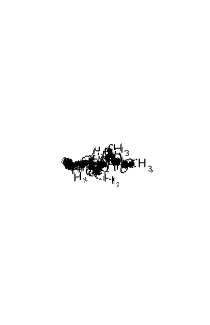 CCOC(=O)CNC(=O)CN(CC(C)C)C(=O)CNC(=O)CN(CC(C)C)C(=O)CNC(=O)OCc1ccccc1